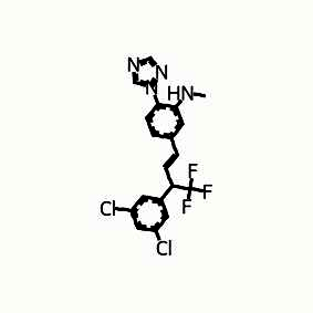 CNc1cc(/C=C/C(c2cc(Cl)cc(Cl)c2)C(F)(F)F)ccc1-n1cncn1